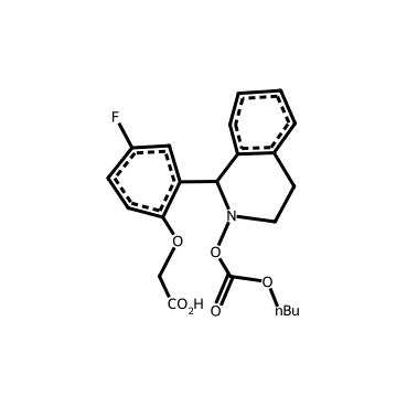 CCCCOC(=O)ON1CCc2ccccc2C1c1cc(F)ccc1OCC(=O)O